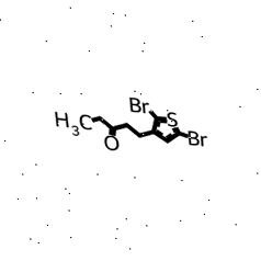 CCC(=O)CCc1cc(Br)sc1Br